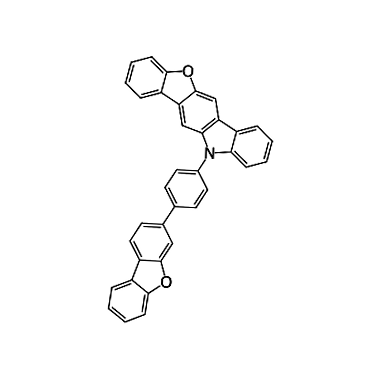 c1ccc2c(c1)oc1cc(-c3ccc(-n4c5ccccc5c5cc6oc7ccccc7c6cc54)cc3)ccc12